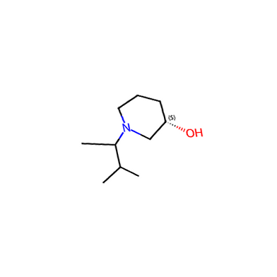 CC(C)C(C)N1CCC[C@H](O)C1